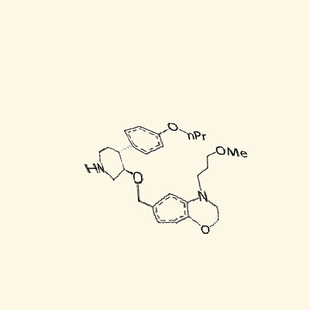 CCCOc1ccc([C@H]2CCNC[C@@H]2OCc2ccc3c(c2)N(CCCOC)CCO3)cc1